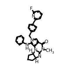 CN1C(=O)c2cn(Cc3ccc(-c4cccc(F)n4)cc3)c(Nc3ccccc3)c2N2C1=N[C@@H]1CCC[C@@H]12